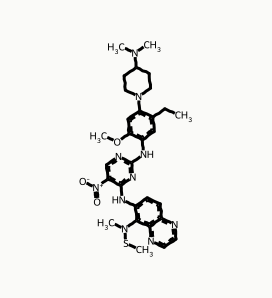 CCc1cc(Nc2ncc([N+](=O)[O-])c(Nc3ccc4nccnc4c3N(C)SC)n2)c(OC)cc1N1CCC(N(C)C)CC1